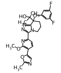 COc1nc(-c2nnc3n2CCCC3(Oc2cc(F)cc(F)c2)C(C)(C)O)ccc1-c1cnc(C)o1